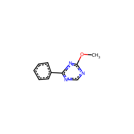 COc1n[c]nc(-c2ccccc2)n1